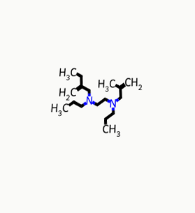 C=C(C)CN(CCC)CCN(CCC)CC(=C)CC